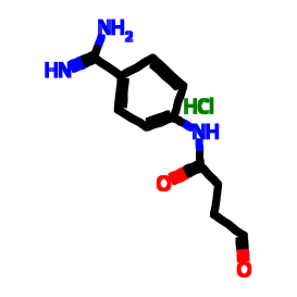 Cl.N=C(N)c1ccc(NC(=O)CCC=O)cc1